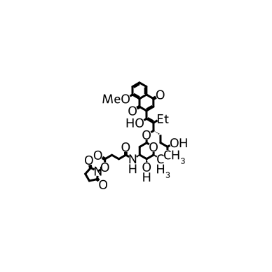 CC/C(=C(/O)C1=CC(=O)c2cccc(OC)c2C1=O)[C@H](CCC(C)O)OC1C[C@H](NC(=O)CCC(=O)ON2C(=O)CCC2=O)[C@H](O)[C@H](C)O1